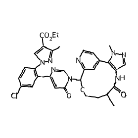 CCOC(=O)c1cn(-c2ccc(Cl)cc2-c2cc(=O)n(C3CCCC(C)C(=O)Nc4cnn(C)c4-c4ccnc3c4)cn2)nc1C